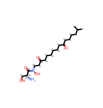 CC(C)CCCCC(=O)CCCCCCC(=O)CCN(O)C(=O)[C@@H](N)CO